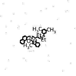 CC[N+](CC)(CCCCN(Cc1ccc2ccccc2c1)C(=O)c1oc2ccccc2c1C)Cc1cc(C)cc(C)c1